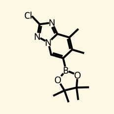 Cc1c(B2OC(C)(C)C(C)(C)O2)cn2nc(Cl)nc2c1C